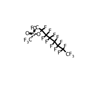 O=S(=O)(OC(F)(C(F)(F)F)C(F)(F)C(F)(F)C(F)(F)C(F)(F)C(F)(F)C(F)(F)F)C(F)(F)F